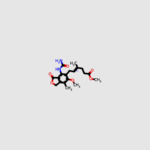 COC(=O)CC/C(C)=C/Cc1c(NC(N)=O)c2c(c(C)c1OC)COC2=O